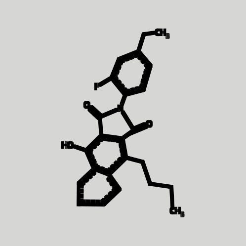 CCCCc1c2c(c(O)c3ccccc13)C(=O)N(c1ccc(CC)cc1F)C2=O